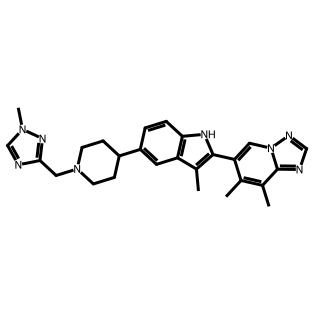 Cc1c(-c2[nH]c3ccc(C4CCN(Cc5ncn(C)n5)CC4)cc3c2C)cn2ncnc2c1C